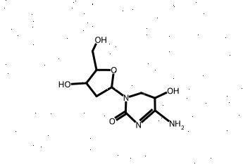 NC1=NC(=O)N(C2CC(O)C(CO)O2)CC1O